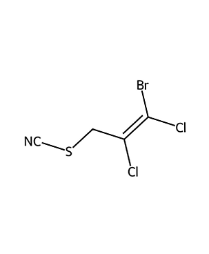 N#CSC/C(Cl)=C(/Cl)Br